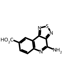 Nc1nc2ccc(C(=O)O)cc2c2nsnc12